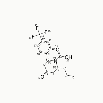 CCC[C@@H]1CC(=O)C[C@H](c2ccc(C(F)(F)F)cc2)N1C(=O)O